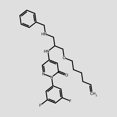 C=CCCCCOCC(CNCc1ccccc1)Nc1cnn(-c2cc(F)cc(F)c2)c(=O)c1